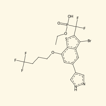 CCOP(=O)(O)C(F)(F)c1sc2c(OCCCC(F)(F)F)cc(-c3cn[nH]c3)cc2c1Br